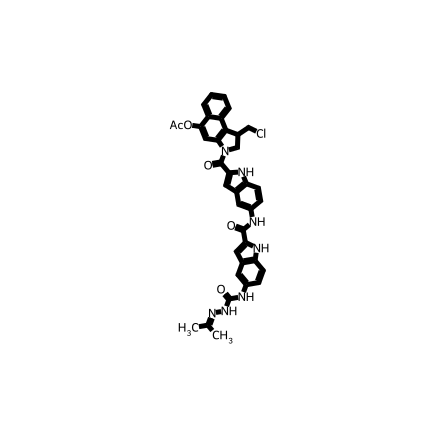 CC(=O)Oc1cc2c(c3ccccc13)C(CCl)CN2C(=O)c1cc2cc(NC(=O)c3cc4cc(NC(=O)NN=C(C)C)ccc4[nH]3)ccc2[nH]1